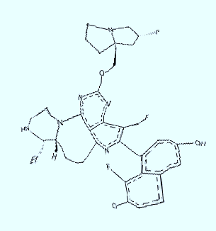 CC[C@@H]1NCCN2c3nc(OC[C@@]45CCCN4C[C@H](F)C5)nc4c(F)c(-c5cc(O)cc6ccc(Cl)c(F)c56)nc(c34)CC[C@H]12